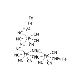 N#[C][Fe]([C]#N)([C]#N)([C]#N)([C]#N)[C]#N.N#[C][Fe]([C]#N)([C]#N)([C]#N)([C]#N)[C]#N.N#[C][Fe]([C]#N)([C]#N)([C]#N)([C]#N)[C]#N.O.[Fe].[Fe].[Fe].[Fe]